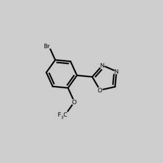 FC(F)(F)Oc1ccc(Br)cc1-c1nnco1